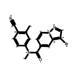 Cc1cc(N(C)C(=O)c2ccn3ncc(Br)c3c2)ccc1C#N